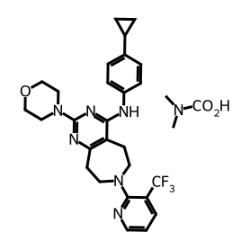 CN(C)C(=O)O.FC(F)(F)c1cccnc1N1CCc2nc(N3CCOCC3)nc(Nc3ccc(C4CC4)cc3)c2CC1